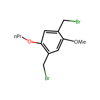 [CH2]CCOc1cc(CBr)c(OC)cc1CBr